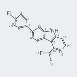 Fc1ccc(-c2ccc3c(c2)[nH]c2ccnc(C(F)F)c23)cn1